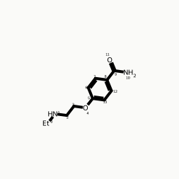 CCNCCOc1ccc(C(N)=O)cc1